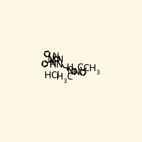 Cc1cccc(N2CCN(CCCCNc3ncnc4c3nc(-c3ccccc3)n4-c3ccccc3)[C@@H](C)C2)c1C.Cl